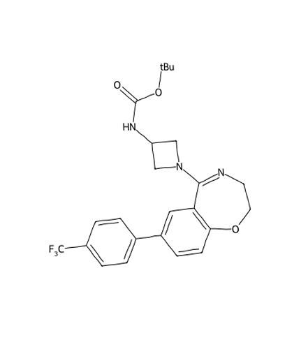 CC(C)(C)OC(=O)NC1CN(C2=NCCOc3ccc(-c4ccc(C(F)(F)F)cc4)cc32)C1